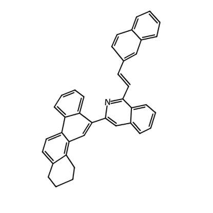 C(=Cc1nc(-c2cc3c4c(ccc3c3ccccc23)CCCC4)cc2ccccc12)c1ccc2ccccc2c1